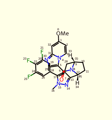 COc1ccn2c(C(=O)N3[C@H]4CC[C@@H]3c3nn(C)c(-c5cc(F)c(F)c(F)c5)c3C4)cnc2c1